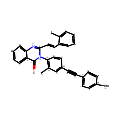 Cc1ccccc1/C=C/c1nc2ccccc2c(=O)n1-c1ccc(C#Cc2ccc(C(C)(C)C)cc2)cc1C